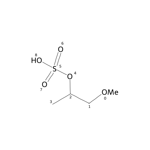 COCC(C)OS(=O)(=O)O